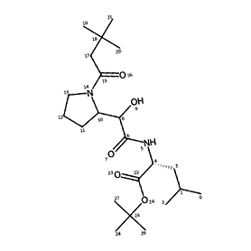 CC(C)C[C@@H](NC(=O)C(O)C1CCCN1C(=O)CC(C)(C)C)C(=O)OC(C)(C)C